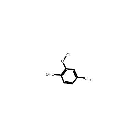 Cc1ccc(C=O)c(OCl)c1